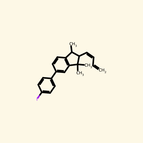 C=C/C=C\C1C(C)c2ccc(-c3ccc(I)cc3)cc2C1(C)C